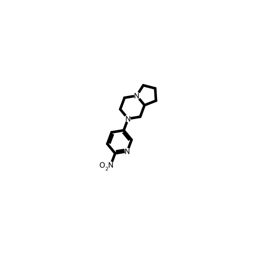 O=[N+]([O-])c1ccc(N2CCN3CCCC3C2)cn1